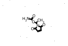 CC(OC(N)=O)N1C(=O)C=CC1=O